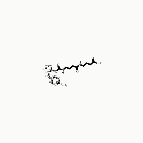 [13CH3][15N]1[13CH2][13CH2][15N]([13CH2][13CH]2[13CH2][13CH2][13CH2][15N]2[13CH2]C(=O)NCCCC(=O)NCCCC(=O)O)[13CH2][13CH2]1